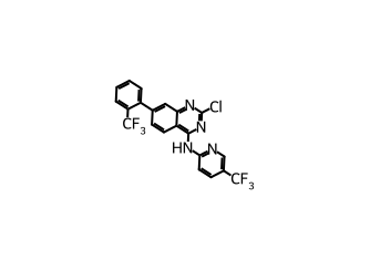 FC(F)(F)c1ccc(Nc2nc(Cl)nc3cc(-c4ccccc4C(F)(F)F)ccc23)nc1